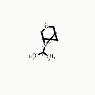 CC(C)N1C2COCC3CC321